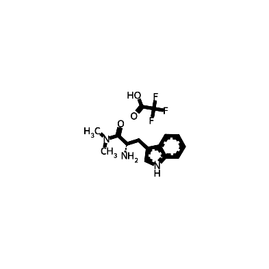 CN(C)C(=O)[C@@H](N)Cc1c[nH]c2ccccc12.O=C(O)C(F)(F)F